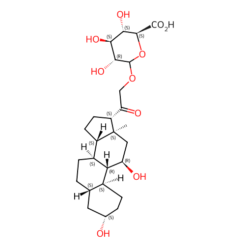 C[C@]12C[C@@H](O)[C@H]3[C@@H](CC[C@H]4C[C@@H](O)CC[C@@H]43)[C@@H]1CC[C@@H]2C(=O)COC1O[C@H](C(=O)O)[C@@H](O)[C@H](O)[C@H]1O